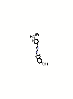 CC(C)Nc1ccc(/C=C/C=C/c2nc3ccc(O)cc3s2)cn1